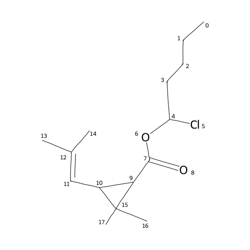 CCCCC(Cl)OC(=O)C1C(C=C(C)C)C1(C)C